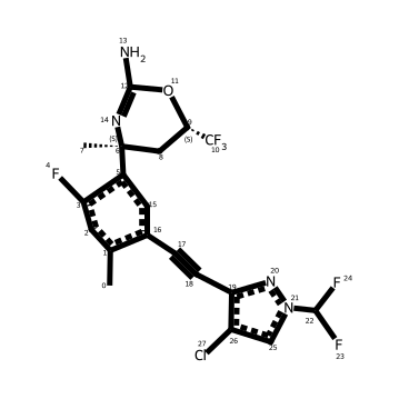 Cc1cc(F)c([C@]2(C)C[C@@H](C(F)(F)F)OC(N)=N2)cc1C#Cc1nn(C(F)F)cc1Cl